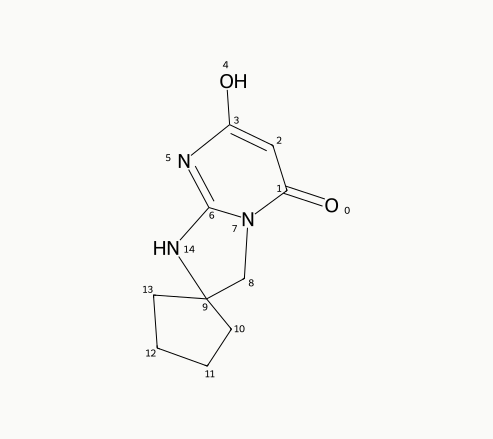 O=c1cc(O)nc2n1CC1(CCCC1)N2